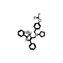 CCCCn1c(-c2ccccc2)nc(-c2ccccc2)c1CN(Cc1ccc(OC(F)F)cc1)C1CCCC1